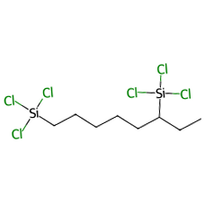 CCC(CCCCC[Si](Cl)(Cl)Cl)[Si](Cl)(Cl)Cl